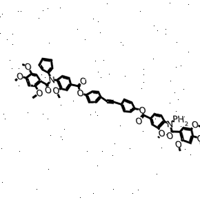 COc1cc(OC)c(C(=O)N(P)c2ccc(C(=O)Oc3ccc(C#Cc4ccc(OC(=O)c5ccc(N(C(=O)c6cc(OC)c(OC)cc6OC)c6ccccc6)c(OC)c5)cc4)cc3)cc2OC)cc1OC